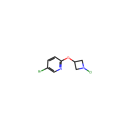 ClN1CC(Oc2ccc(Br)cn2)C1